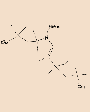 CNN(/C=C(\C)C(C)(C)CC(C)(C)C(C)(C)C)C(C)(C)CC(C)(C)C(C)(C)C